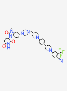 Cn1c(=O)n(C2CCC(=O)NC2=O)c2ccc(N3CCN(CC4CCN(c5ccc(C6CCN(c7ccc(C#N)c(C(F)(F)F)c7)CC6)cc5)CC4)CC3)cc21